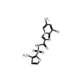 Cc1ccsc1S(=O)(=O)NC(=O)c1cn2cc(C(F)(F)F)cc(Cl)c2n1